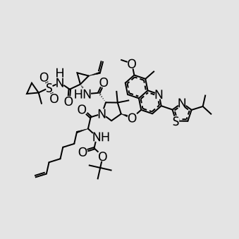 C=CCCCCC[C@H](NC(=O)OC(C)(C)C)C(=O)N1C[C@H](Oc2cc(-c3nc(C(C)C)cs3)nc3c(C)c(OC)ccc23)C(C)(C)[C@H]1C(=O)N[C@]1(C(=O)NS(=O)(=O)C2(C)CC2)C[C@H]1C=C